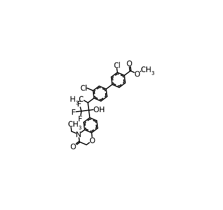 CCN1C(=O)COc2ccc(C(O)(C(C)c3ccc(-c4ccc(C(=O)OC)c(Cl)c4)cc3Cl)C(F)(F)F)cc21